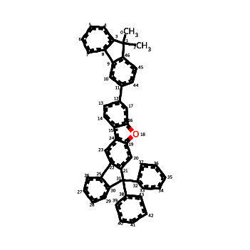 CC1(C)c2ccccc2-c2cc(-c3ccc4c(c3)oc3cc5c(cc34)-c3ccccc3C5(c3ccccc3)c3ccccc3)ccc21